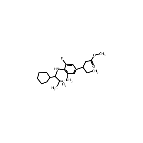 CCC(CC(=O)OC)c1cc(N)c(NC(C(C)C)C2CCCCC2)c(F)c1